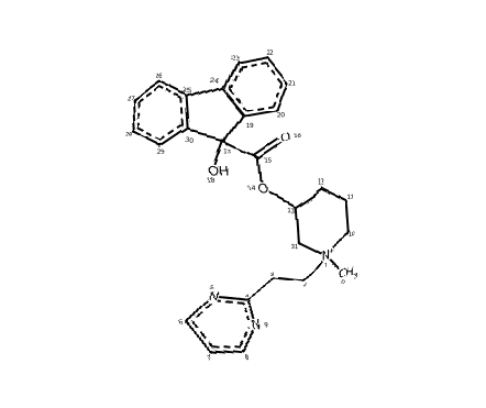 C[N+]1(CCc2ncccn2)CCCC(OC(=O)C2(O)c3ccccc3-c3ccccc32)C1